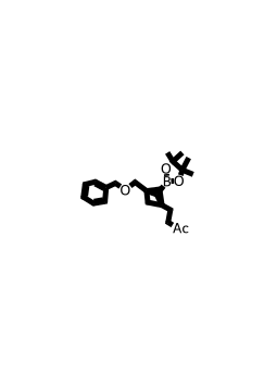 CC(=O)CCC12CC(COCc3ccccc3)(C1)C2B1OC(C)(C)C(C)(C)O1